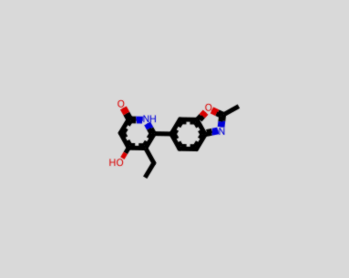 CCc1c(O)cc(=O)[nH]c1-c1ccc2nc(C)oc2c1